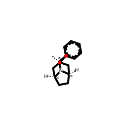 C[C@]1(O)C[C@H]2CC[C@@H](C1)N2Cc1ccccc1